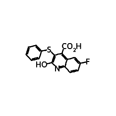 O=C(O)c1c(Sc2ccccc2)c(O)nc2ccc(F)cc12